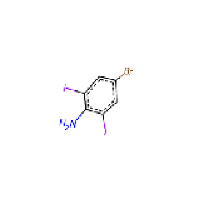 Nc1c(I)cc(Br)cc1I